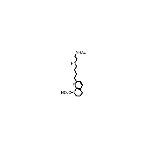 CC(=O)NCCNCCCCc1ccc2c(n1)N(C(=O)O)CCC2